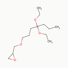 CCC[Si](CCCOCC1CO1)(OCC)OCC